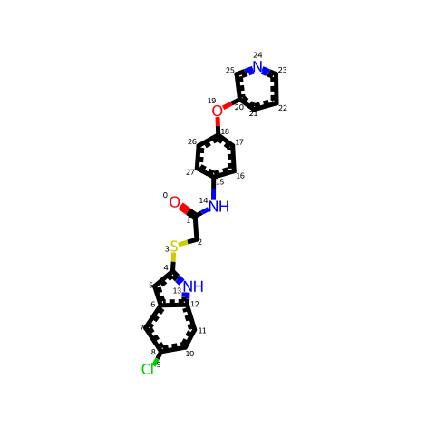 O=C(CSc1cc2cc(Cl)ccc2[nH]1)Nc1ccc(Oc2cccnc2)cc1